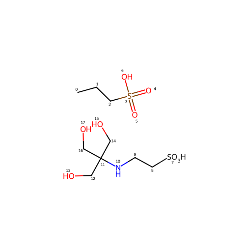 CCCS(=O)(=O)O.O=S(=O)(O)CCNC(CO)(CO)CO